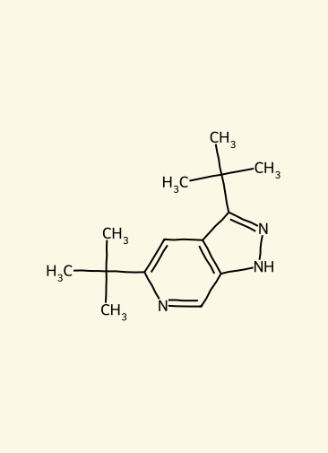 CC(C)(C)c1cc2c(C(C)(C)C)n[nH]c2cn1